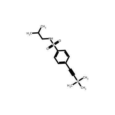 CC(C)CNS(=O)(=O)c1ccc(C#C[Si](C)(C)C)cc1